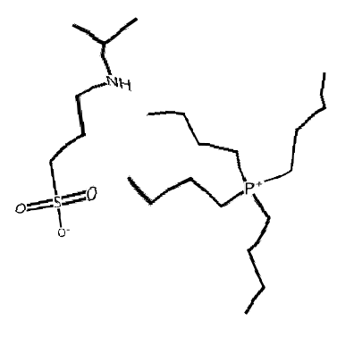 CC(C)NCCCS(=O)(=O)[O-].CCCC[P+](CCCC)(CCCC)CCCC